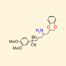 CCC(C)C(C#N)(CCCC(N)CC1COc2ccccc2O1)c1ccc(OC)c(OC)c1